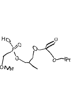 COCP(=O)(O)OC(C)OC(=O)OC(C)C